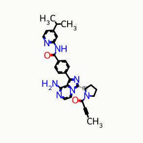 CC#CC(=O)N1CCC[C@H]1c1nc(-c2ccc(C(=O)Nc3cc(C(C)C)ccn3)cc2)c2c(N)nccn12